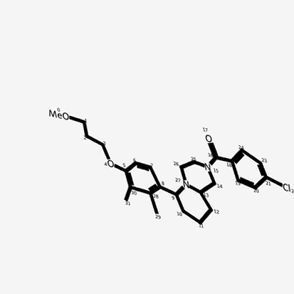 COCCCOc1ccc(C2CCCC3CN(C(=O)c4ccc(Cl)cc4)CCN32)c(C)c1C